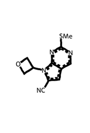 CSc1ncc2cc(C#N)n(C3COC3)c2n1